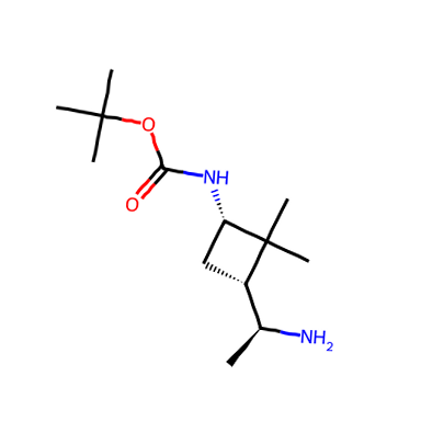 C[C@H](N)[C@@H]1C[C@H](NC(=O)OC(C)(C)C)C1(C)C